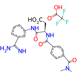 CN(C)C(=O)c1ccc(C(=O)N[C@H](CC(=O)O)C(=O)Nc2cccc(C(=N)N)c2)cc1.O=C(O)C(F)(F)F